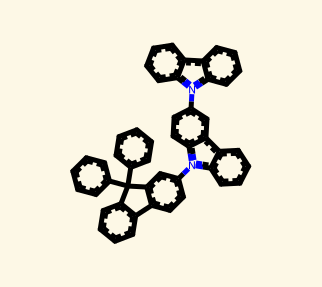 c1ccc(C2(c3ccccc3)c3ccccc3-c3ccc(-n4c5ccccc5c5cc(-n6c7ccccc7c7ccccc76)ccc54)cc32)cc1